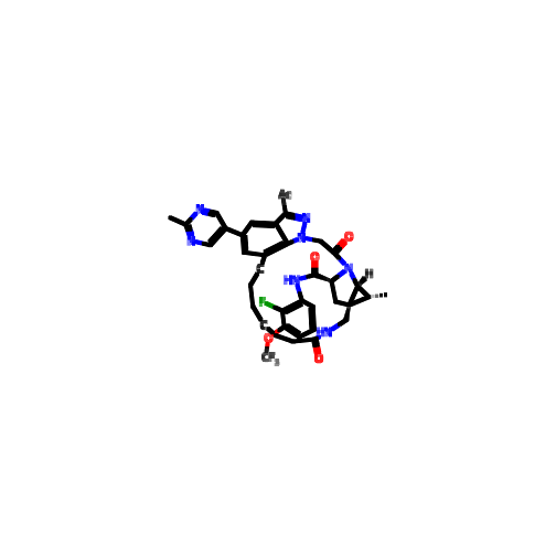 CC(=O)c1nn2c3c(cc(-c4cnc(C)nc4)cc13)CCCCCCC(=O)NC[C@@]13C[C@@H](C(=O)Nc4cccc(OC(F)(F)F)c4F)N(C(=O)C2)[C@@H]1[C@@H]3C